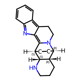 c1ccc2c(c1)=NC1=C3[C@H]4CC[C@H]([C@@H]5CCCN[C@@H]54)N3CCC=21